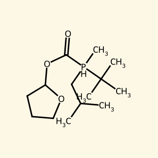 CC(C)C[PH](C)(C(=O)OC1CCCO1)C(C)(C)C